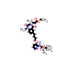 CCOC(=O)CC(C)N1CC(=O)N(C)c2ccc(CCCCOc3cccnc3NC(=O)OC(C)(C)C)cc2C1=O